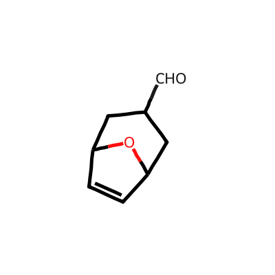 O=CC1CC2C=CC(C1)O2